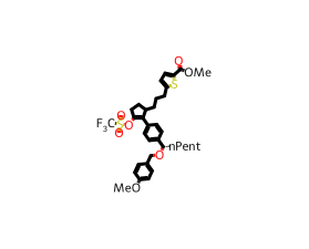 CCCCC[C@H](OCc1ccc(OC)cc1)c1ccc(C2=C(OS(=O)(=O)C(F)(F)F)CCC2CCCc2ccc(C(=O)OC)s2)cc1